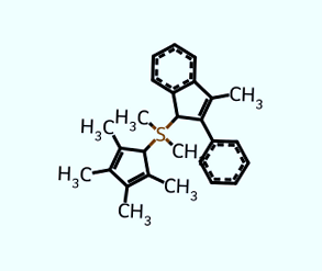 CC1=C(C)C(S(C)(C)C2C(c3ccccc3)=C(C)c3ccccc32)C(C)=C1C